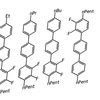 CCCCCc1ccc(-c2ccc(-c3ccc(CC)cc3)cc2)c(F)c1F.CCCCCc1ccc(-c2ccc(-c3ccc(CCC)cc3)cc2)c(F)c1F.CCCCCc1ccc(-c2ccc(-c3ccc(CCCC)cc3)cc2)c(F)c1F.CCCCCc1ccc(-c2ccc(-c3ccc(CCCCC)c(F)c3F)cc2)cc1